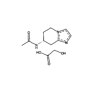 CC(=O)N[C@@H]1CCn2ccnc2C1.O=C(O)CO